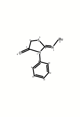 CCC(C)N=C1SCC(=O)N1c1ccccc1